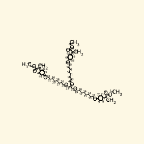 C=C(C(=O)OCC)c1ccc(OCCCCCCCCOCC(COCCCCCCCCOc2ccc(C(=C)C(=O)OCC)cc2)OCCCCCCCCOc2ccc(C(=C)C(=O)OCC)cc2)cc1